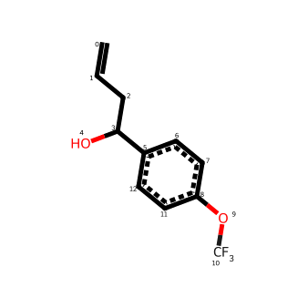 C=CCC(O)c1ccc(OC(F)(F)F)cc1